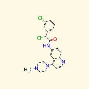 CN1CCN(c2ccnc3ccc(NC(=O)C(Cl)c4cccc(Cl)c4)cc23)CC1